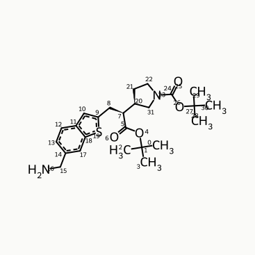 CC(C)(C)OC(=O)[C@@H](Cc1cc2ccc(CN)cc2s1)[C@H]1CCN(C(=O)OC(C)(C)C)C1